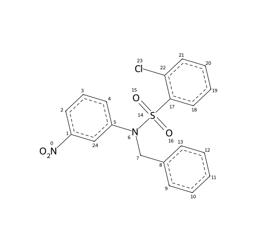 O=[N+]([O-])c1cccc(N(Cc2ccccc2)S(=O)(=O)c2ccccc2Cl)c1